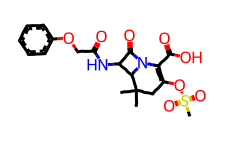 CC1(C)CC(OS(C)(=O)=O)=C(C(=O)O)N2C(=O)C(NC(=O)COc3ccccc3)C21